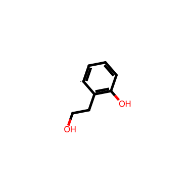 OCCc1[c]cccc1O